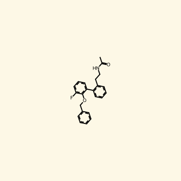 CC(=O)NCCc1ccccc1-c1cccc(F)c1OCc1ccccc1